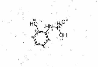 O=[PH](O)Nc1ccccc1O